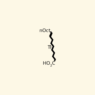 CCCCCCCCC=CCCCCCCCC(=O)O.[Tl]